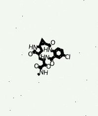 CNC(=O)C(=O)C(C[C@@H]1CCNC1=O)NC(=O)c1cc(Cl)ccc1NC(=O)C1CC1